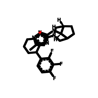 Cc1cc(N2CC3CC[C@@H](C2)[C@@H]3Nc2nc3n(n2)CCCC3c2ccc(F)c(F)c2F)sn1